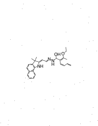 C=C/C=C\C(=C(/C)OCC)C(O)N/N=C/C=C1\Nc2c(ccc3ccccc23)C1(C)C